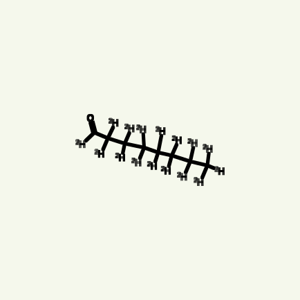 [2H]C(=O)C([2H])([2H])C([2H])([2H])C([2H])([2H])C([2H])([2H])C([2H])([2H])C([2H])([2H])C([2H])([2H])[2H]